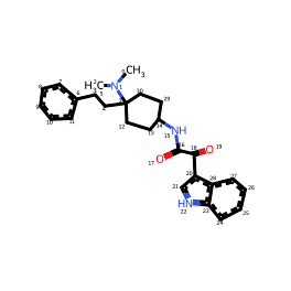 CN(C)C1(CCc2ccccc2)CCC(NC(=O)C(=O)c2c[nH]c3ccccc23)CC1